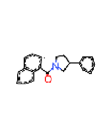 O=C(c1[c]ccc2ccccc12)N1CCC(c2ccccc2)C1